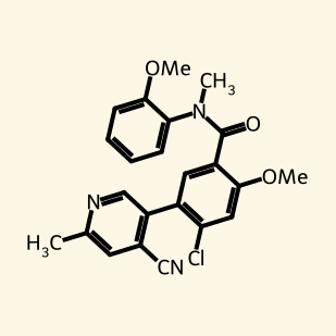 COc1cc(Cl)c(-c2cnc(C)cc2C#N)cc1C(=O)N(C)c1ccccc1OC